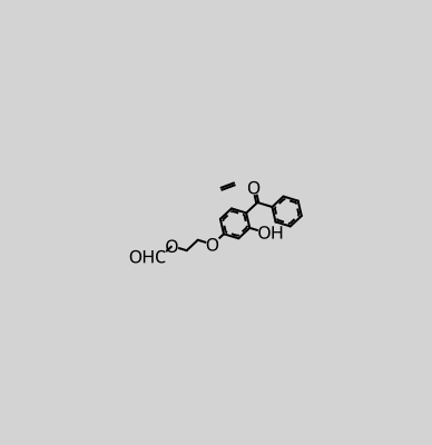 C=C.O=COCCOc1ccc(C(=O)c2ccccc2)c(O)c1